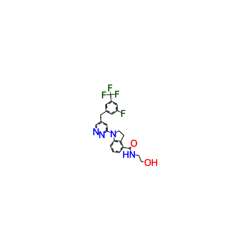 O=C(NCCO)c1cccc2c1CCN2c1cc(Cc2cc(F)cc(C(F)(F)F)c2)cnn1